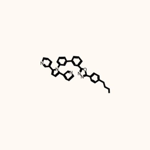 CCCCc1ccc(-c2nnc(-c3cccc(-c4cccc(-n5c(-c6cccnc6)ccc5-c5cccnc5)c4)c3)o2)cc1